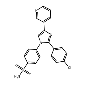 NS(=O)(=O)c1ccc(-n2cc(-c3cccnc3)nc2-c2ccc(Cl)cc2)cc1